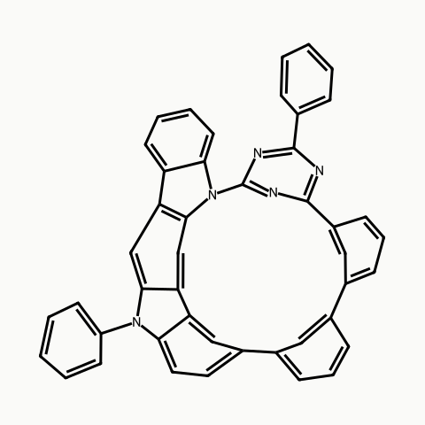 c1ccc(-c2nc3nc(n2)n2c4ccccc4c4cc5c(cc42)c2cc(ccc2n5-c2ccccc2)c2cccc(c2)c2cccc3c2)cc1